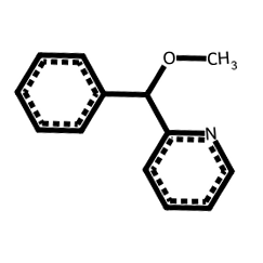 CO[C](c1ccccc1)c1ccccn1